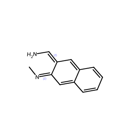 C/N=C1/C=c2ccccc2=C/C1=C/N